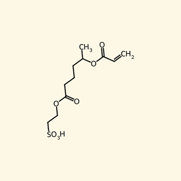 C=CC(=O)OC(C)CCCC(=O)OCCS(=O)(=O)O